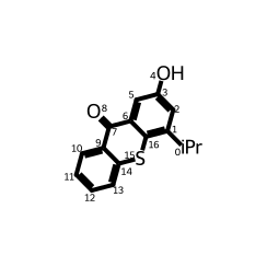 CC(C)c1cc(O)cc2c(=O)c3ccccc3sc12